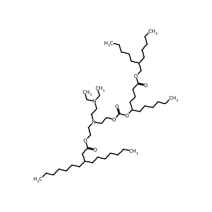 CCCCCCCC(CCCCCCC)CC(=O)OCCN(CCOC(=O)OC(CCCCCC)CCCC(=O)OCC(CCCCC)CCCCC)CCN(CC)CC